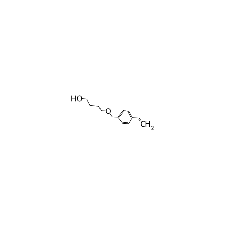 C=Cc1ccc(COCCCCO)cc1